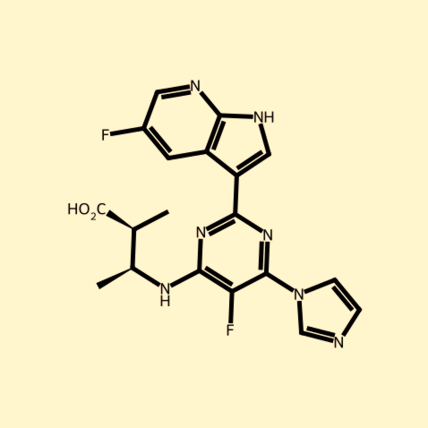 C[C@H](Nc1nc(-c2c[nH]c3ncc(F)cc23)nc(-n2ccnc2)c1F)[C@H](C)C(=O)O